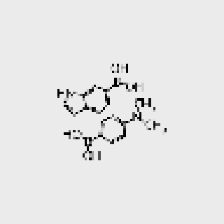 CN(C)c1ccc(B(O)O)cc1.OB(O)c1ccc2cc[nH]c2c1